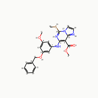 COC(=O)c1c(Nc2cc(OC)cc(OCc3ccccc3)c2)nc(SC)n2ccnc12